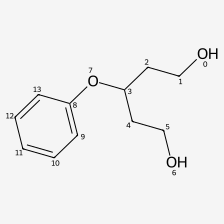 OCCC(CCO)Oc1ccccc1